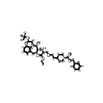 CCOC(=O)[C@H](COCCC1CCN(C(=O)OCc2ccccc2)CC1)N[C@H]1CCc2ccccc2N(CC(=O)OC(C)(C)C)C1=O